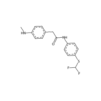 CNc1ccc(CC(=O)Nc2ccc(SC(F)F)cc2)cc1